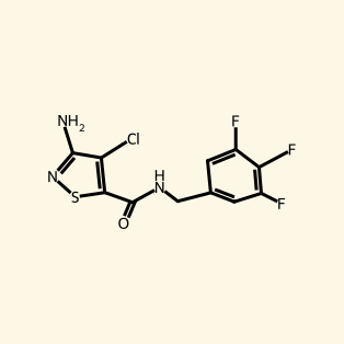 Nc1nsc(C(=O)NCc2cc(F)c(F)c(F)c2)c1Cl